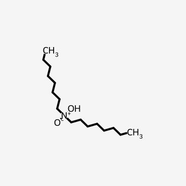 CCCCCCCC[N+]([O-])(O)CCCCCCCC